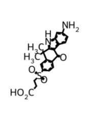 CC1(C)c2cc(S(=O)(=O)CCC(=O)O)ccc2C(=O)c2c1[nH]c1cc(N)ccc21